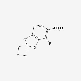 CCOC(=O)c1ccc2c(c1F)OC1(CCC1)O2